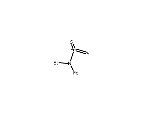 CC[N]([Fe])[Fe](=[S])=[S]